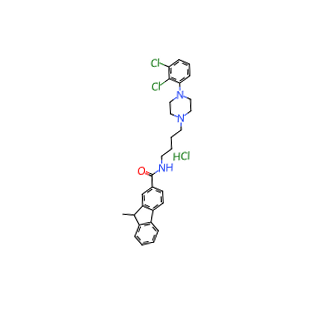 CC1c2ccccc2-c2ccc(C(=O)NCCCCN3CCN(c4cccc(Cl)c4Cl)CC3)cc21.Cl